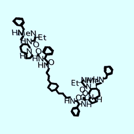 CC[C@H](NC)C(=O)N[C@@H]1C(=O)N2[C@@H](CC[C@@H]1CCNCc1ccccc1)CC[C@H]2C(=O)N[C@H](C(=O)NCCCCC1CCC(CCCCNC(=O)[C@@H](NC(=O)[C@@H]2CC[C@@H]3CC[C@H](CCNCc4ccccc4)[C@H](NC(=O)[C@H](CC)NC)CN32)c2ccccc2)CC1)c1ccccc1